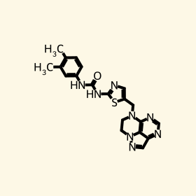 Cc1ccc(NC(=O)Nc2ncc(CN3CCn4ncc5ncnc3c54)s2)cc1C